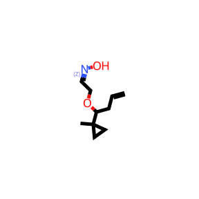 C=CCC(OC/C=N\O)C1(C)CC1